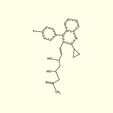 CC(=O)CC(O)CC(O)/C=C/c1c(C2CC2)nc2ccccc2c1-c1ccc(F)cc1